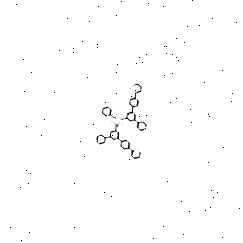 c1ccc(C2=NC(c3cc(-c4ccccc4)cc(-c4ccc(-c5ccccn5)cc4)c3)=NC(c3cc(-c4ccccc4)cc(-c4ccc(-c5ccccn5)cc4)c3)N2)cc1